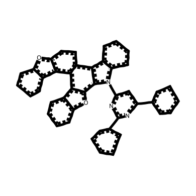 c1ccc(-c2cc(-n3c4ccccc4c4c5ccc6oc7ccccc7c6c5c5c6ccccc6oc5c43)nc(-c3ccccc3)n2)cc1